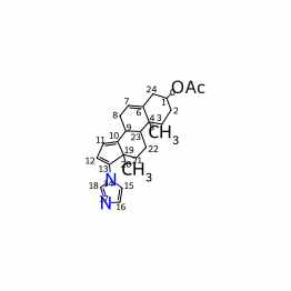 CC(=O)OC1CCC2(C)C(=CCC3C4=CC=C(n5ccnc5)C4(C)CCC32)C1